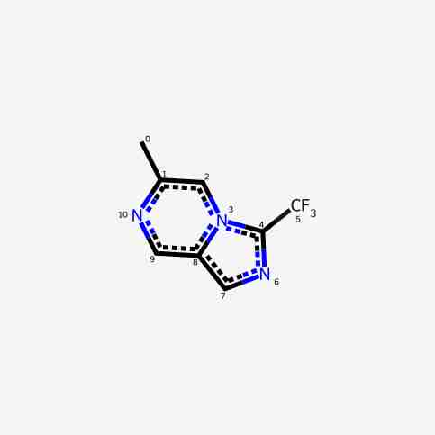 Cc1cn2c(C(F)(F)F)ncc2cn1